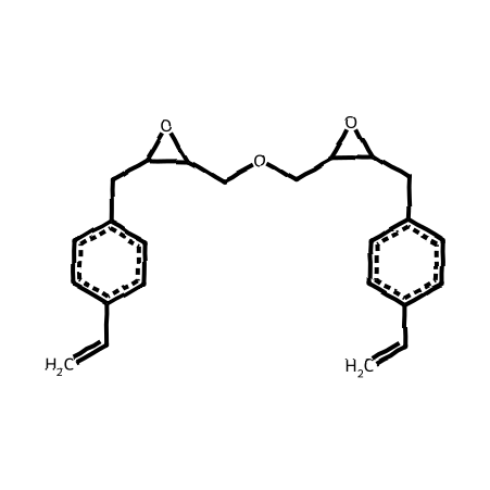 C=Cc1ccc(CC2OC2COCC2OC2Cc2ccc(C=C)cc2)cc1